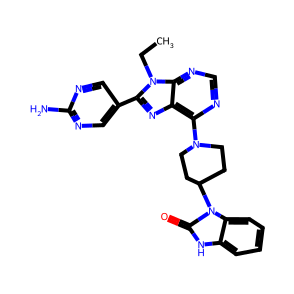 CCn1c(-c2cnc(N)nc2)nc2c(N3CCC(n4c(=O)[nH]c5ccccc54)CC3)ncnc21